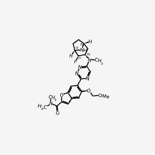 COCOc1cc2cc(C(=O)N(C)C)oc2cc1-c1ncc(N(C)[C@@H]2C[C@H]3CC[C@H](N3)[C@@H]2F)nn1